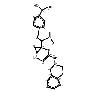 CN(C)C(Cc1ccc(B(O)O)cc1)C1(NC(=NC#N)N[C@@H]2COc3ccccc3C2)CC1